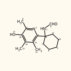 Cc1nc(C2(NC=O)CCCCC2)c(C)c(C)c1O